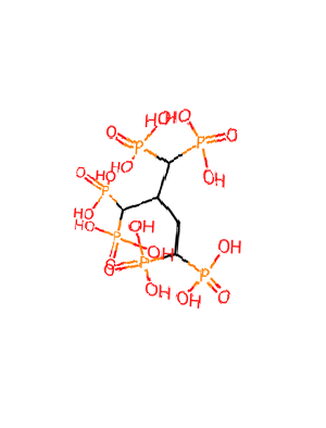 O=P(O)(O)C(CC(C(P(=O)(O)O)P(=O)(O)O)C(P(=O)(O)O)P(=O)(O)O)P(=O)(O)O